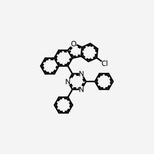 Clc1ccc2oc3cc4ccccc4c(-c4nc(-c5ccccc5)nc(-c5ccccc5)n4)c3c2c1